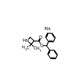 CC1(C)NCC1C(=O)OC(c1ccccc1)c1ccccc1.[KH]